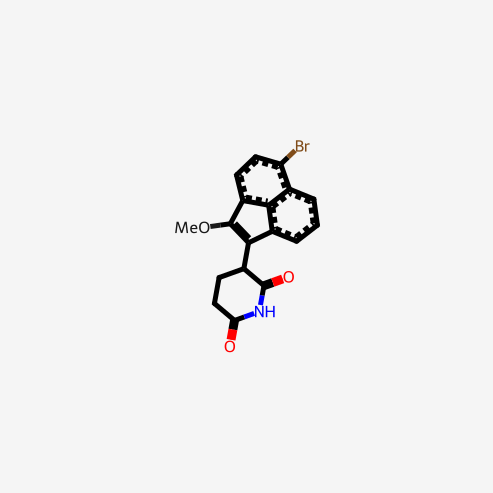 COC1=C(C2CCC(=O)NC2=O)c2cccc3c(Br)ccc1c23